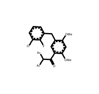 COc1cc(OC)c(C(=O)C(C(C)=O)C(C)=O)cc1Cc1cccc(Cl)c1F